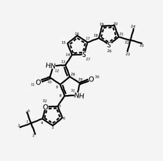 CC(C)(C)c1ccc(C2=C3C(=O)NC(c4ccc(-c5ccc(C(C)(C)C)s5)s4)=C3C(=O)N2)o1